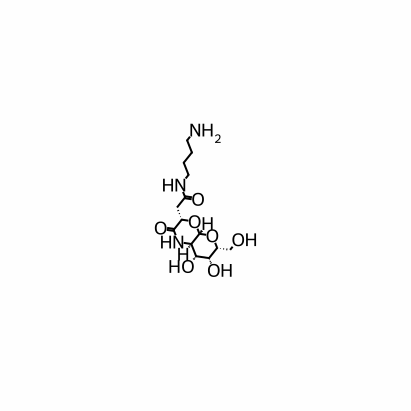 NCCCCNC(=O)C[C@@H]1O[C@@H]2O[C@H](CO)[C@H](O)[C@H](O)[C@H]2NC1=O